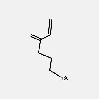 C=CC(=C)CCCCCCC